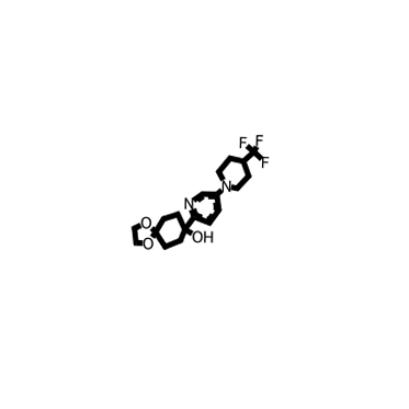 OC1(c2ccc(N3CCC(C(F)(F)F)CC3)cn2)CCC2(CC1)OCCO2